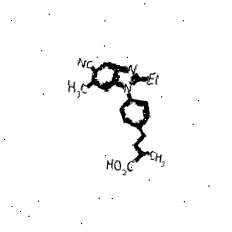 CCc1nc2cc(C#N)c(C)cc2n1-c1ccc(CCC(C)C(=O)O)cc1